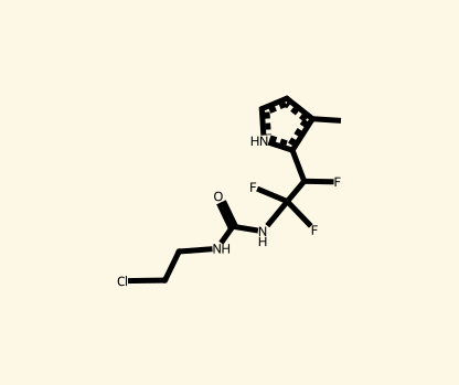 Cc1cc[nH]c1C(F)C(F)(F)NC(=O)NCCCl